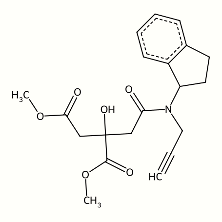 C#CCN(C(=O)CC(O)(CC(=O)OC)C(=O)OC)C1CCc2ccccc21